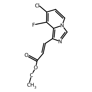 CCOC(=O)C=Cc1ncn2ccc(Cl)c(F)c12